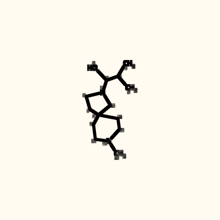 CC(C)C(O)N1CCC2(CCN(C)CC2)C1